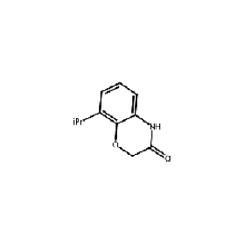 CC(C)c1cccc2c1OCC(=O)N2